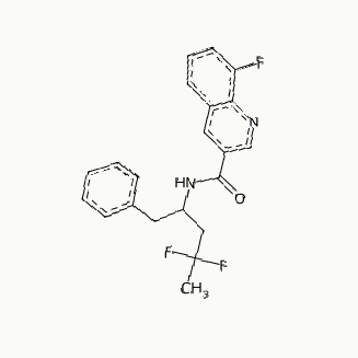 CC(F)(F)CC(Cc1ccccc1)NC(=O)c1cnc2c(F)cccc2c1